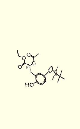 CCOC(=O)[C@@H](Cc1cc(O[Si](C)(C)C(C)(C)C)ccc1O)OC(C)=O